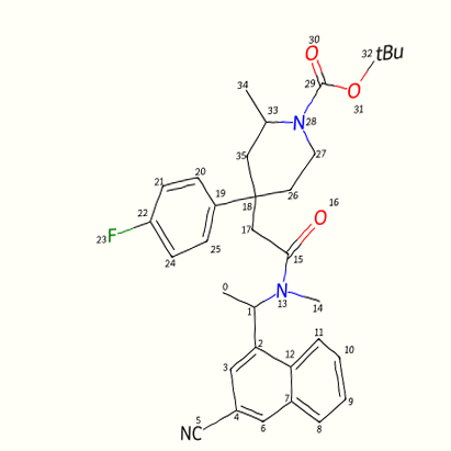 CC(c1cc(C#N)cc2ccccc12)N(C)C(=O)CC1(c2ccc(F)cc2)CCN(C(=O)OC(C)(C)C)C(C)C1